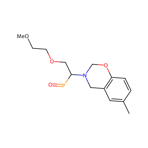 COCCOCC(P=O)N1COc2ccc(C)cc2C1